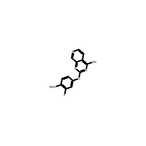 COc1ccc(Oc2nc(O)c3ccncc3n2)cc1F